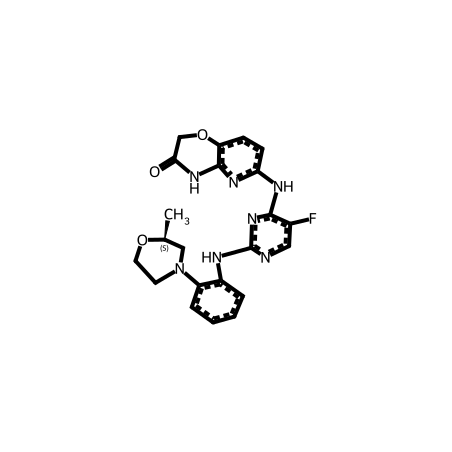 C[C@H]1CN(c2ccccc2Nc2ncc(F)c(Nc3ccc4c(n3)NC(=O)CO4)n2)CCO1